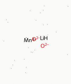 [LiH].[Mn+4].[O-2].[O-2]